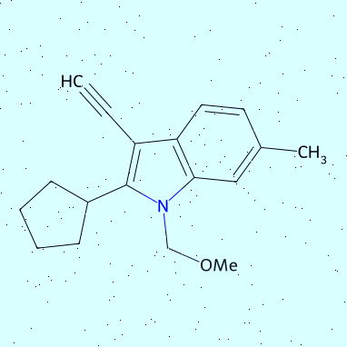 C#Cc1c(C2CCCC2)n(COC)c2cc(C)ccc12